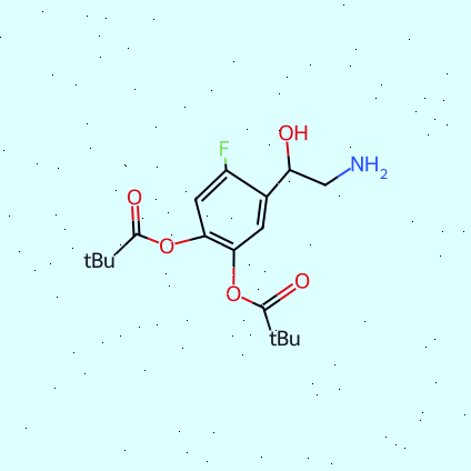 CC(C)(C)C(=O)Oc1cc(F)c(C(O)CN)cc1OC(=O)C(C)(C)C